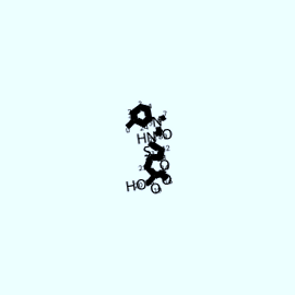 Cc1cccc(N(C)C(=O)Nc2cc3oc(=O)c(C(=O)O)cc3s2)c1